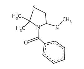 COC1CSC(C)(C)N1C(=O)c1ccccc1